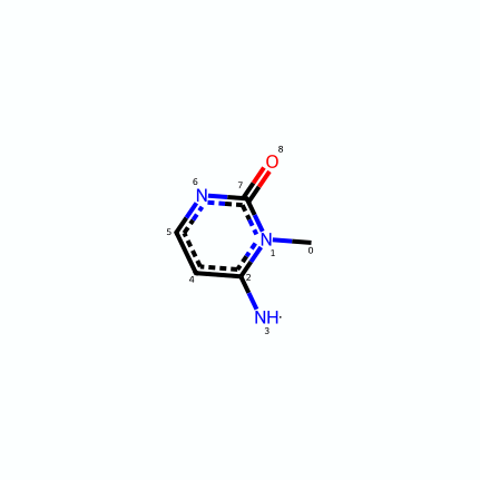 Cn1c([NH])ccnc1=O